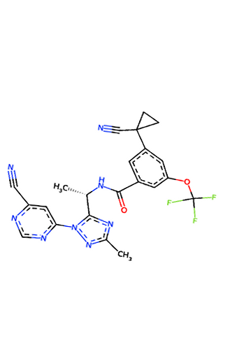 Cc1nc([C@H](C)NC(=O)c2cc(OC(F)(F)F)cc(C3(C#N)CC3)c2)n(-c2cc(C#N)ncn2)n1